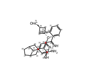 N=C(N)/C(=C\C(=N)c1ccccc1O)N1CC2CCC(C1)N2c1ccnc(O[C@H]2C[C@H](C=O)C2)c1